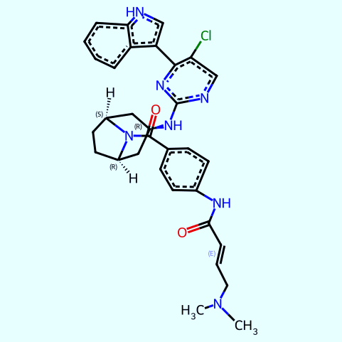 CN(C)C/C=C/C(=O)Nc1ccc(C(=O)N2[C@@H]3CC[C@H]2C[C@@H](Nc2ncc(Cl)c(-c4c[nH]c5ccccc45)n2)C3)cc1